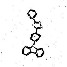 c1ccc(-c2nnc(-c3ccc(-n4c5ccccc5c5ccccc54)cc3)o2)nc1